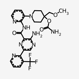 COCC1(OC(N)=O)CCN(c2cccnc2NC(=O)c2nc(-c3ncccc3C(F)(F)F)cnc2N)CC1